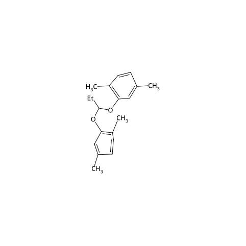 CCC(Oc1cc(C)ccc1C)Oc1cc(C)ccc1C